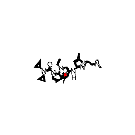 CCN1C=C(Nc2cc(C)n(CCN(C)C)n2)C2=NCN(C)C23C=CN(C(=O)N(C2CC2)C2CC2)C13